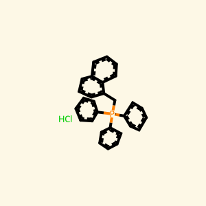 Cl.c1ccc([P](Cc2cccc3ccccc23)(c2ccccc2)c2ccccc2)cc1